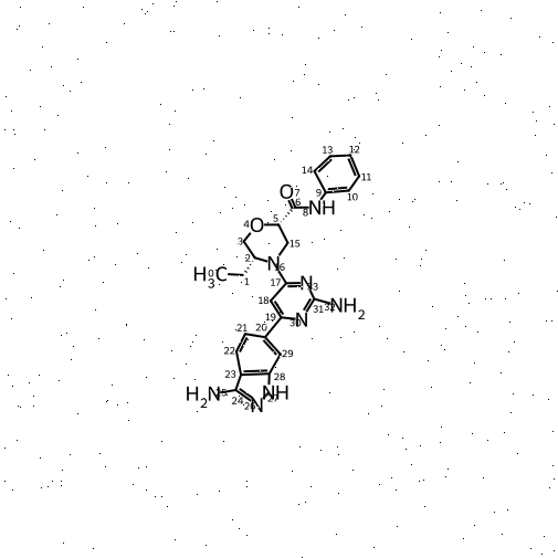 CC[C@@H]1CO[C@H](C(=O)Nc2ccccc2)CN1c1cc(-c2ccc3c(N)n[nH]c3c2)nc(N)n1